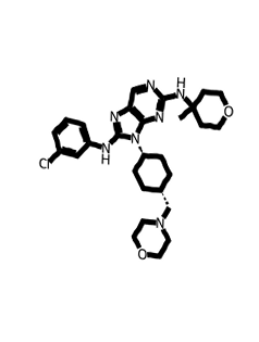 CC1(Nc2ncc3nc(Nc4cccc(Cl)c4)n([C@H]4CC[C@@H](CN5CCOCC5)CC4)c3n2)CCOCC1